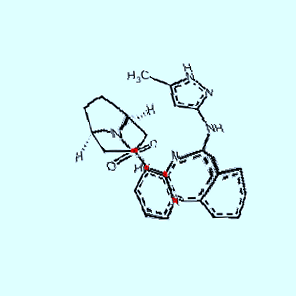 Cc1cc(Nc2nc(N[C@@H]3C[C@H]4CC[C@@H](C3)N4S(=O)(=O)c3cccnc3)nc3ccccc23)n[nH]1